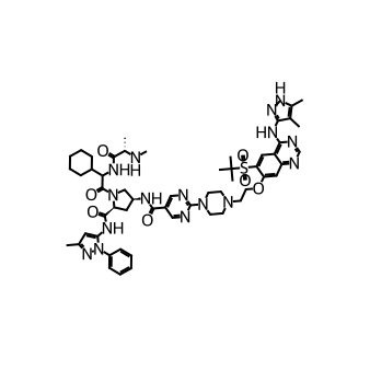 CN[C@@H](C)C(=O)NC(C(=O)N1C[C@@H](NC(=O)c2cnc(N3CCN(CCOc4cc5ncnc(Nc6n[nH]c(C)c6C)c5cc4S(=O)(=O)C(C)(C)C)CC3)nc2)C[C@H]1C(=O)Nc1cc(C)nn1-c1ccccc1)C1CCCCC1